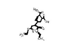 CCOC(=O)CC(C(=O)OCC)C1C=CC(C(=O)O)C(C(=O)O)C1